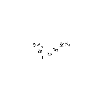 [Ag].[SnH4].[SnH4].[Ti].[Zn].[Zn]